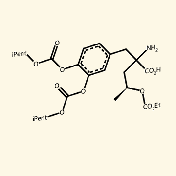 CCCC(C)OC(=O)Oc1ccc(CC(N)(C[C@H](C)OC(=O)OCC)C(=O)O)cc1OC(=O)OC(C)CCC